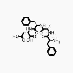 C[C@H](NC(=O)[C@@H](N)Cc1ccccc1)C(=O)N[C@@H](Cc1ccccc1)C(=O)N[C@@H](CC(=O)O)C(=O)O